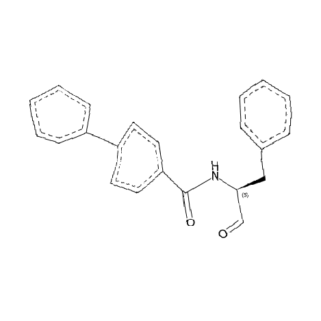 O=C[C@H](Cc1ccccc1)NC(=O)c1ccc(-c2ccccc2)cc1